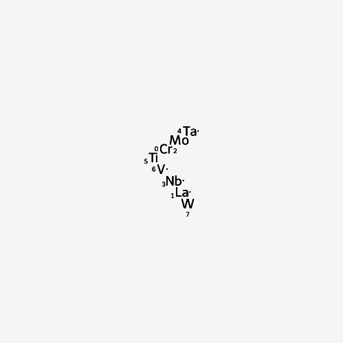 [Cr].[La].[Mo].[Nb].[Ta].[Ti].[V].[W]